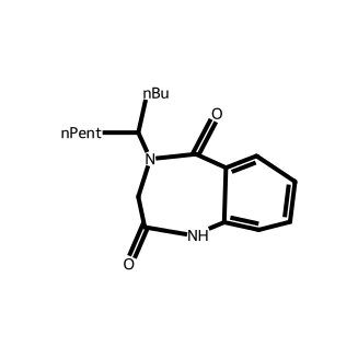 CCCCCC(CCCC)N1CC(=O)Nc2ccccc2C1=O